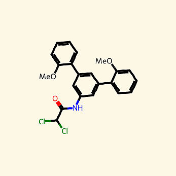 COc1ccccc1-c1cc(NC(=O)C(Cl)Cl)cc(-c2ccccc2OC)c1